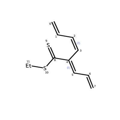 C=C/C=C\C(=C/C=C)C(=S)SCC